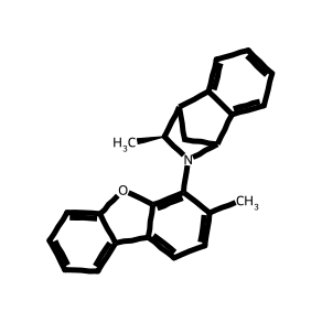 Cc1ccc2c(oc3ccccc32)c1N1C2CC(c3ccccc32)[C@@H]1C